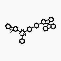 c1ccc(-c2nc(-c3ccc(-c4ccc(-c5ccc6c(c5)C5(c7ccccc7-c7ccccc75)c5ccccc5-6)cc4)cc3)nc(-c3ccc4c(c3)sc3ccccc34)n2)cc1